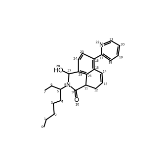 CCCCCC(CC)N1C(=O)C2CC=Cc3c(-c4ccccn4)ccc(c32)C1O